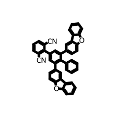 N#Cc1cccc(C#N)c1-c1cc(-c2ccc3oc4ccccc4c3c2)c(-c2ccccc2)c(-c2ccc3oc4ccccc4c3c2)c1